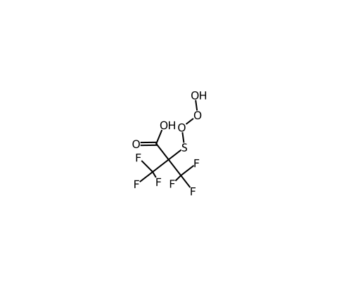 O=C(O)C(SOOO)(C(F)(F)F)C(F)(F)F